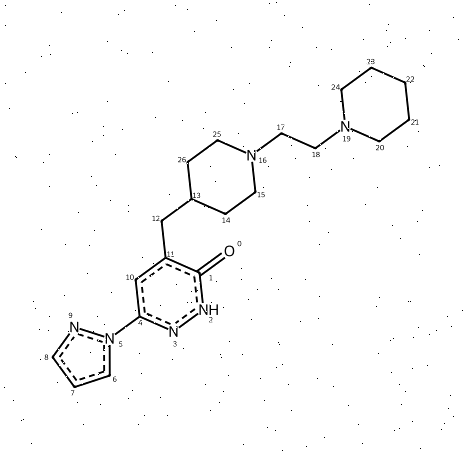 O=c1[nH]nc(-n2cccn2)cc1CC1CCN(CCN2CCCCC2)CC1